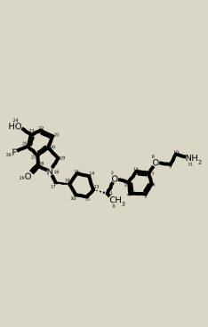 CC(Oc1cccc(OCCN)c1)[C@H]1CC[C@H](CN2Cc3ccc(O)c(F)c3C2=O)CC1